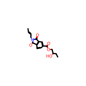 C/C=C/CN1C(=O)c2ccc(C(=O)OCC(O)CC)cc2C1=O